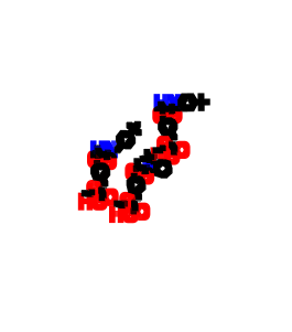 CCO[C@H](Cc1ccc(OC(C)C(=O)N(C2CCCCC2)C(C)(C)C)cc1)C(=O)O.CCO[C@H](Cc1ccc(OC(C)C(=O)NCc2ccc(C(C)(C)C)cc2)cc1)C(=O)O.CCO[C@H](Cc1ccc(OC(C)C(=O)Nc2ccc(C(C)(C)C)cc2)cc1)C(=O)O